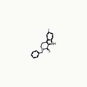 S=C1c2[nH]c3ccc(I)cc3c2CCN1Cc1ccccc1